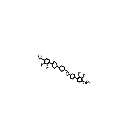 CCCc1ccc(C2CCC(OCC3CCC(C4CC=C(c5ccc(C6CO6)c(F)c5F)CC4)CC3)CC2)c(F)c1F